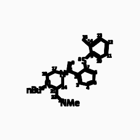 C=C(c1ccccc1Sc1ccccc1C)N1CCN(CCCC)C(CNC)C1